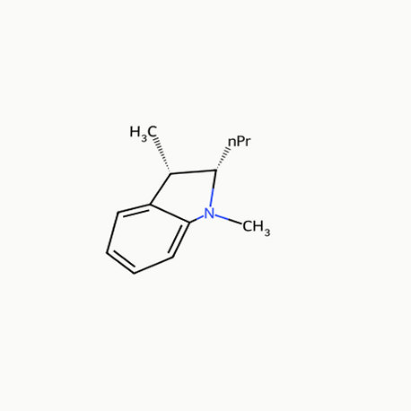 CCC[C@H]1[C@@H](C)c2ccccc2N1C